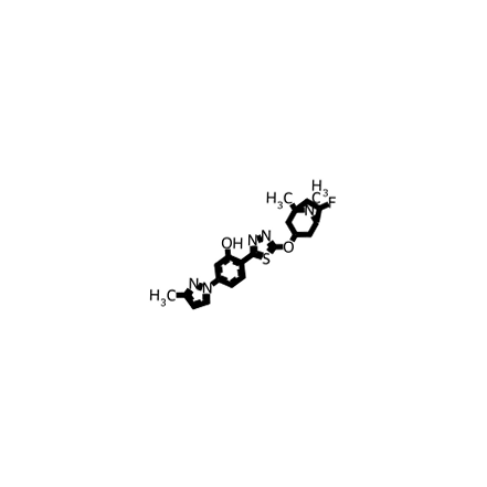 Cc1ccn(-c2ccc(-c3nnc(OC4CC5C(F)CC(C)(C4)N5C)s3)c(O)c2)n1